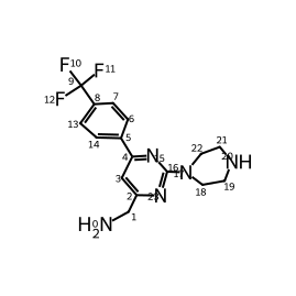 NCc1cc(-c2ccc(C(F)(F)F)cc2)nc(N2CCNCC2)n1